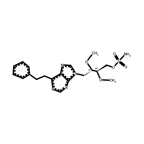 CO[C@@H](Cn1cnc2c(CCc3ccccc3)ncnc21)[C@@H](COS(N)(=O)=O)OC